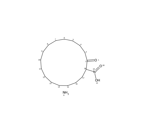 N.O=C1CCCCCCCCCCCCCCCC1[N+](=O)O